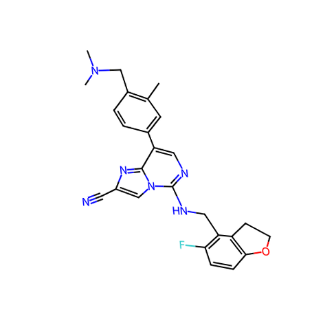 Cc1cc(-c2cnc(NCc3c(F)ccc4c3CCO4)n3cc(C#N)nc23)ccc1CN(C)C